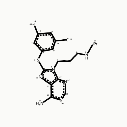 CC(C)NCCCn1c(Sc2cc(Cl)cc([131I])c2)nc2c(N)ncnc21